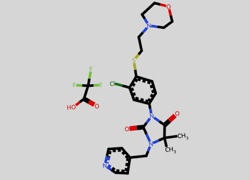 CC1(C)C(=O)N(c2ccc(SCCN3CCOCC3)c(Cl)c2)C(=O)N1Cc1ccncc1.O=C(O)C(F)(F)F